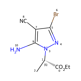 CCOC(=O)[C@H](C)n1nc(Br)c(C#N)c1N